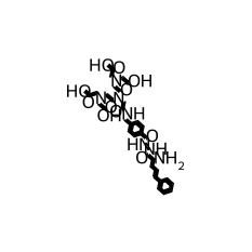 N[C@H](C/C=C/c1ccccc1)C(=O)NNC(=O)c1ccc(CNC(=O)CN(CCN(CC(=O)O)CC(=O)O)CCN(CC(=O)O)CC(=O)O)cc1